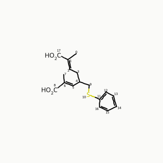 CC(=CCC(C=C(C)C(=O)O)CSc1ccccc1)C(=O)O